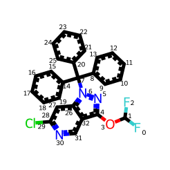 FC(F)Oc1nn(C(c2ccccc2)(c2ccccc2)c2ccccc2)c2cc(Cl)ncc12